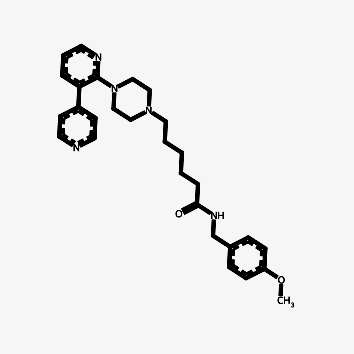 COc1ccc(CNC(=O)CCCCCN2CCN(c3ncccc3-c3ccncc3)CC2)cc1